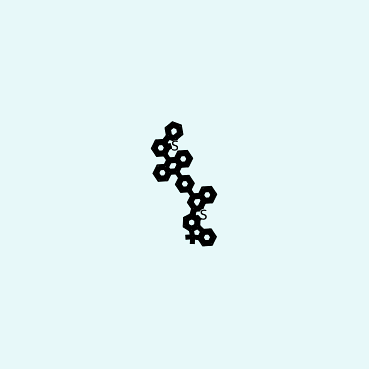 CC1(C)c2ccccc2-c2c1ccc1c2sc2c3ccccc3c(-c3ccc(-c4c5ccccc5c(-c5cccc6c5sc5ccccc56)c5ccccc45)cc3)cc12